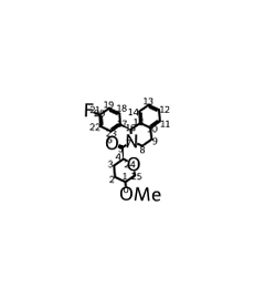 COC1CC[C@@H](C(=O)N2CCc3ccccc3[C@@H]2c2ccc(F)cc2)OC1